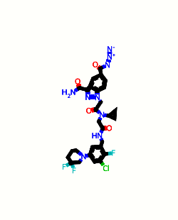 [N-]=[N+]=NC(=O)c1ccc2c(c1)c(C(N)=O)nn2CC(=O)N(CC(=O)NCc1cc(N2CCCC(F)(F)C2)cc(Cl)c1F)C1CC1